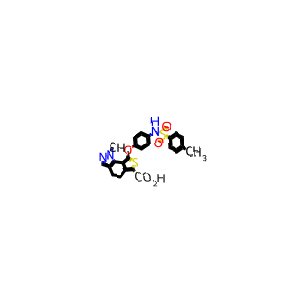 Cc1ccc(S(=O)(=O)Nc2ccc(Oc3sc(C(=O)O)c4c3-c3c(cnn3C)CC4)cc2)cc1